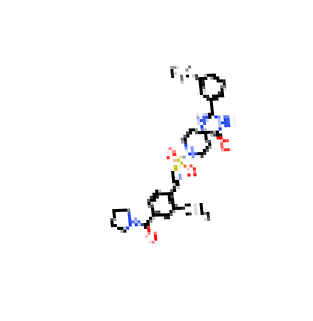 Cc1cc(C(=O)N2CCCC2)ccc1/C=C/S(=O)(=O)N1CCC2(CC1)N=C(c1cccc(C(F)(F)F)c1)NC2=O